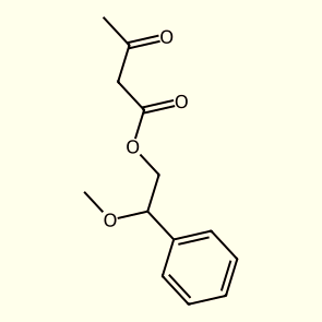 COC(COC(=O)CC(C)=O)c1ccccc1